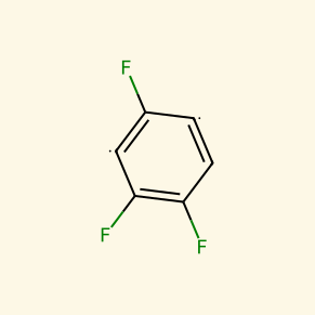 Fc1[c]cc(F)c(F)[c]1